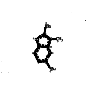 Cc1c(C(C)(C)C)oc2ccc(C(C)(C)C)cc12